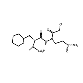 CN(C(=O)O)[C@@H](CC1CCCCC1)C(=O)NN(CCC(N)=O)C(=O)CCl